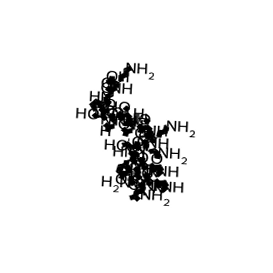 CC(C)C[C@H](NC(=O)[C@H](CO)NC(=O)[C@H](CCCCN)NC(=O)[C@H](CCC(N)=O)NC(=O)[C@@H](NC(=O)[C@H](Cc1ccc(O)cc1)NC(=O)[C@H](Cc1c[nH]cn1)NC(=O)[C@H](CC(N)=O)NC(=O)[C@H](Cc1c[nH]cn1)NC(=O)[C@@H](N)CC(C)C)[C@@H](C)O)C(=O)N[C@@H](CO)C(=O)N[C@@H](CC(C)C)C(=O)N[C@@H](CO)C(=O)N1CCC[C@H]1C(=O)NCC(=O)N[C@@H](CCCCN)C(=O)O